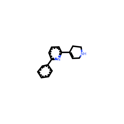 C1=C(c2cccc(-c3ccccc3)n2)CCNC1